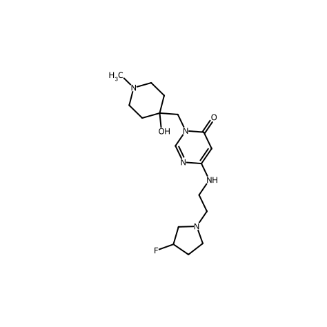 CN1CCC(O)(Cn2cnc(NCCN3CCC(F)C3)cc2=O)CC1